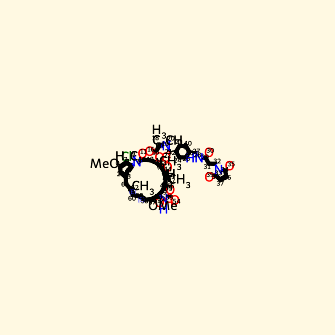 COc1cc2cc(c1Cl)N(C)C(=O)CC(OC(=O)[C@@H](C)N(C)C(=O)[C@H]1CC[C@H](CNC(=O)CCN3C(=O)C=CC3=O)CC1)[C@]1(C)O[C@H]1[C@H](C)[C@@H]1C[C@@](O)(NC(=O)O1)[C@H](OC)/C=C/C=C(\C)C2